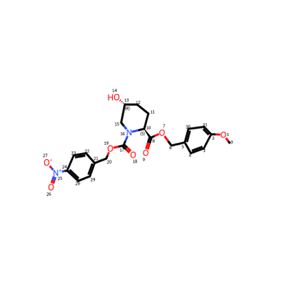 COc1ccc(COC(=O)[C@@H]2CC[C@@H](O)CN2C(=O)OCc2ccc([N+](=O)[O-])cc2)cc1